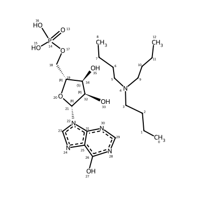 CCCCN(CCCC)CCCC.O=P(O)(O)OC[C@H]1O[C@@H](n2cnc3c(O)ncnc32)[C@H](O)[C@@H]1O